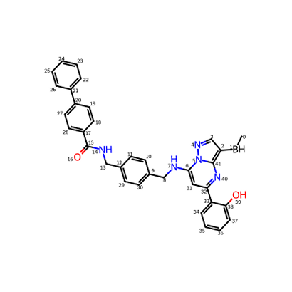 CBc1cnn2c(NCc3ccc(CNC(=O)c4ccc(-c5ccccc5)cc4)cc3)cc(-c3ccccc3O)nc12